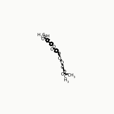 CCC(C)C(=O)OCCOCCOCCOCCOc1ccc(C(=O)Oc2ccc(-c3ccc(C(=O)NC)cc3)cc2)cc1